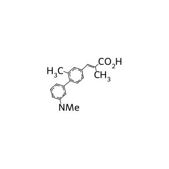 CNc1cccc(-c2ccc(C=C(C)C(=O)O)cc2C)c1